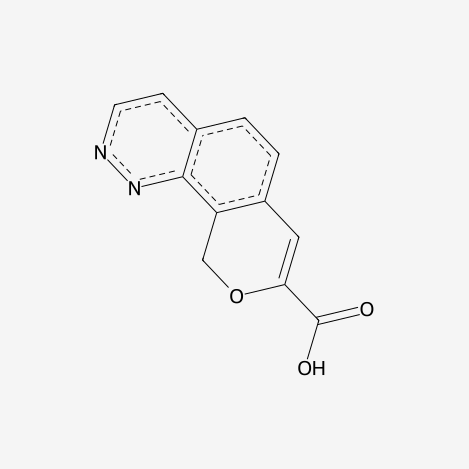 O=C(O)C1=Cc2ccc3ccnnc3c2CO1